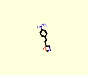 NNc1ccc(C=Cc2cnco2)cc1